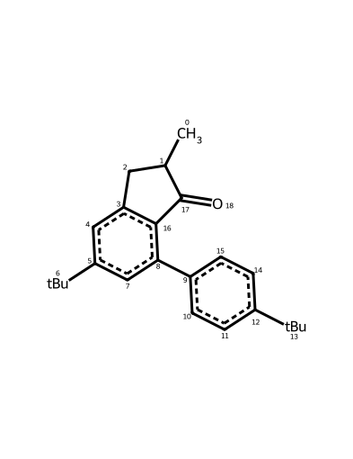 CC1Cc2cc(C(C)(C)C)cc(-c3ccc(C(C)(C)C)cc3)c2C1=O